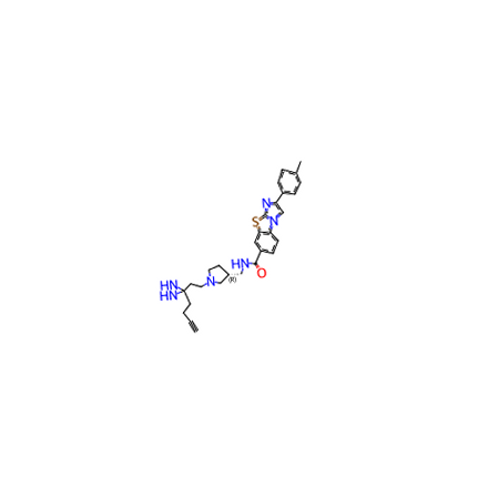 C#CCCC1(CCN2CC[C@H](CNC(=O)c3ccc4c(c3)sc3nc(-c5ccc(C)cc5)cn34)C2)NN1